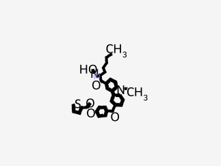 CCCCCC/C(=N\O)C(=O)c1ccc2c(c1)c1cc(C(=O)c3ccc(OC(=O)c4cccs4)cc3)ccc1n2CC